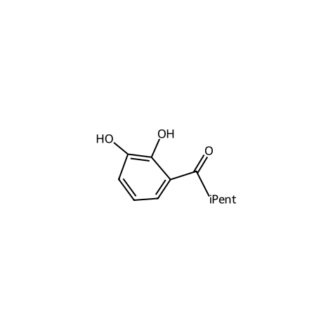 CCCC(C)C(=O)c1cccc(O)c1O